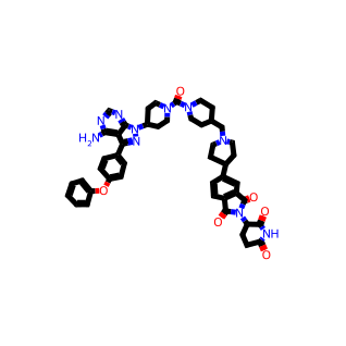 Nc1ncnc2c1c(-c1ccc(Oc3ccccc3)cc1)nn2C1CCN(C(=O)N2CCC(CN3CCC(c4ccc5c(c4)C(=O)N(C4CCC(=O)NC4=O)C5=O)CC3)CC2)CC1